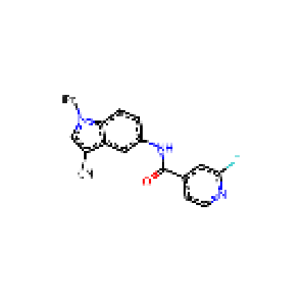 CC(C)n1cc(C#N)c2cc(NC(=O)c3ccnc(F)c3)ccc21